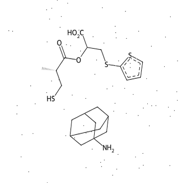 C[C@@H](CS)C(=O)OC(CSc1cccs1)C(=O)O.NC12CC3CC(CC(C3)C1)C2